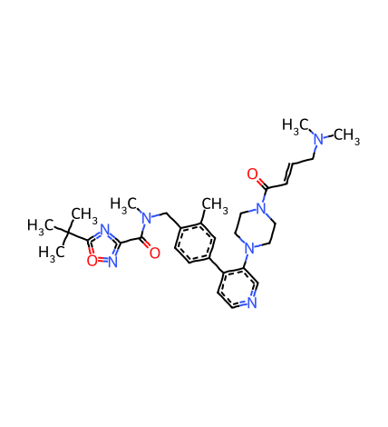 Cc1cc(-c2ccncc2N2CCN(C(=O)/C=C/CN(C)C)CC2)ccc1CN(C)C(=O)c1noc(C(C)(C)C)n1